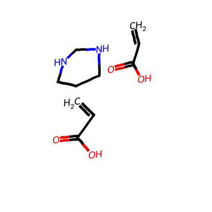 C1CNCNC1.C=CC(=O)O.C=CC(=O)O